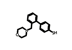 Sc1ccc(-c2ccccc2CN2CCOCC2)cc1